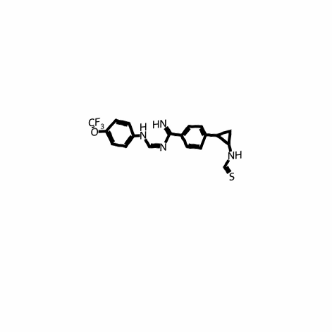 N=C(/N=C\Nc1ccc(OC(F)(F)F)cc1)c1ccc(C2CC2NC=S)cc1